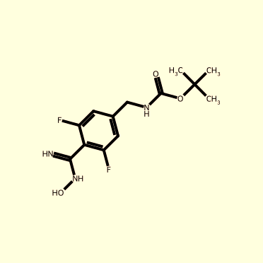 CC(C)(C)OC(=O)NCc1cc(F)c(C(=N)NO)c(F)c1